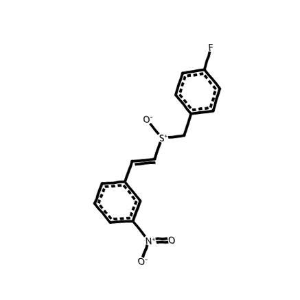 O=[N+]([O-])c1cccc(/C=C/[S+]([O-])Cc2ccc(F)cc2)c1